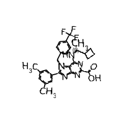 Cc1cc(C)cc(-c2nc3nc(C(=O)O)nc(N[C@H](C)C4CCC4)c3n2Cc2ccc(C(F)(F)F)cc2)c1